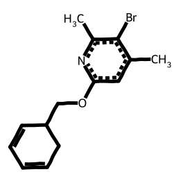 Cc1cc(OCC2C=CC=CC2)nc(C)c1Br